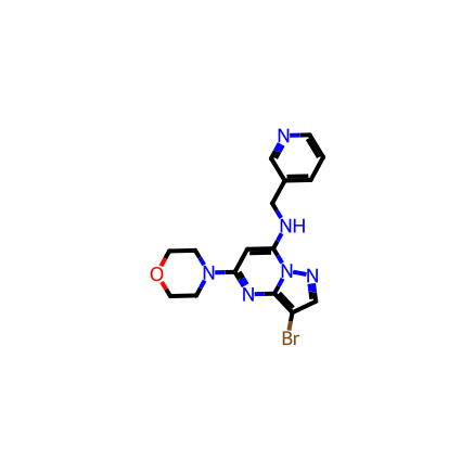 Brc1cnn2c(NCc3cccnc3)cc(N3CCOCC3)nc12